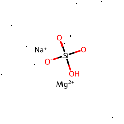 [Mg+2].[Na+].[O-][Si]([O-])([O-])O